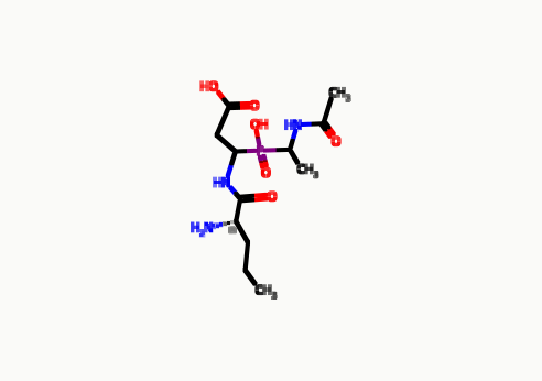 CCC[C@H](N)C(=O)NC(CC(=O)O)P(=O)(O)C(C)NC(C)=O